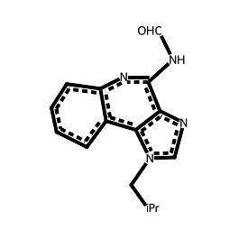 CC(C)Cn1cnc2c(NC=O)nc3ccccc3c21